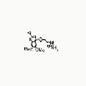 COc1cc2nc(C3CC3)nc(N3CC(CCNS(N)(=O)=O)C3)c2cc1OC